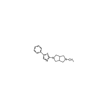 CN1CC2CN(c3ncc(-c4ccccc4)s3)CC2C1